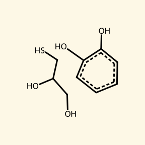 OCC(O)CS.Oc1ccccc1O